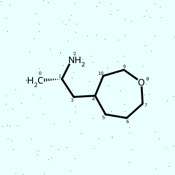 [CH2][C@H](N)CC1CCCOCC1